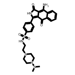 CN(C)N1CCN(CCNS(=O)(=O)c2ccc(C3=C4C(=O)c5ccccc5C(N)=C4C(=O)N3)cc2)CC1